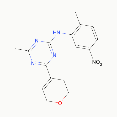 Cc1nc(Nc2cc([N+](=O)[O-])ccc2C)nc(C2=CCOCC2)n1